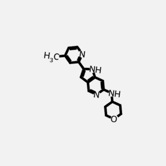 Cc1ccnc(-c2cc3cnc(NC4CCOCC4)cc3[nH]2)c1